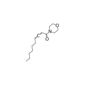 CCCCCCC=C=CC(=O)N1CCOCC1